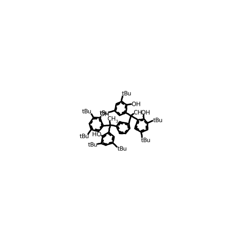 CC(C)(C)c1cc(C(C)(C)C)c(O)c(C(C)(c2cccc(C(C)(c3cc(C(C)(C)C)cc(C(C)(C)C)c3O)c3cc(C(C)(C)C)cc(C(C)(C)C)c3O)c2)c2cc(C(C)(C)C)cc(C(C)(C)C)c2O)c1